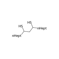 CCCCCCCC(S)CC(S)CCCCCCC